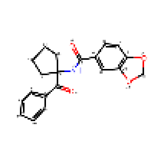 O=C(NC1(C(=O)c2ccccc2)CCCC1)c1ccc2c(c1)OCO2